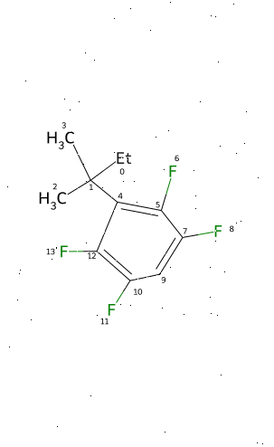 CCC(C)(C)c1c(F)c(F)cc(F)c1F